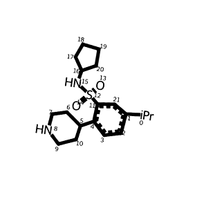 CC(C)c1ccc(C2CCNCC2)c(S(=O)(=O)NC2CCCC2)c1